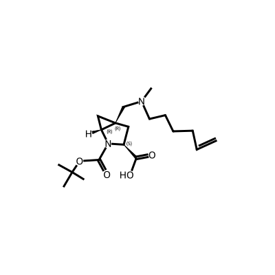 C=CCCCCN(C)C[C@@]12C[C@@H](C(=O)O)N(C(=O)OC(C)(C)C)[C@@H]1C2